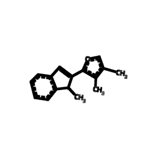 C[C]1C(c2occ(C)c2C)=Cc2ccccc21